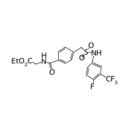 CCOC(=O)CNC(=O)c1ccc(CS(=O)(=O)Nc2ccc(F)c(C(F)(F)F)c2)cc1